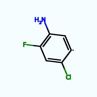 Nc1c[c]c(Cl)cc1F